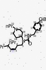 CCCC(/C=C\CCN(C(=O)NCc1ccc(OCC(C)C)cc1)C1CCN(CCC)CC1)CCC